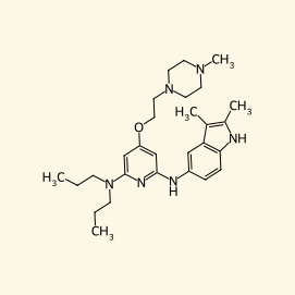 CCCN(CCC)c1cc(OCCN2CCN(C)CC2)cc(Nc2ccc3[nH]c(C)c(C)c3c2)n1